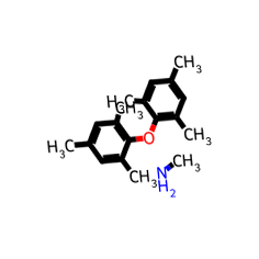 CN.Cc1cc(C)c(Oc2c(C)cc(C)cc2C)c(C)c1